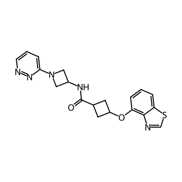 O=C(NC1CN(c2cccnn2)C1)C1CC(Oc2cccc3scnc23)C1